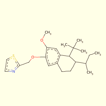 CCC(C)C1CCc2cc(OCc3nccs3)c(OC)cc2C1C(C)(C)C